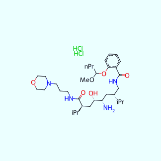 CCCC(OC)Oc1ccccc1C(=O)NC[C@@H](C[C@H](N)[C@@H](O)C[C@H](C(=O)NCCCN1CCOCC1)C(C)C)C(C)C.Cl.Cl